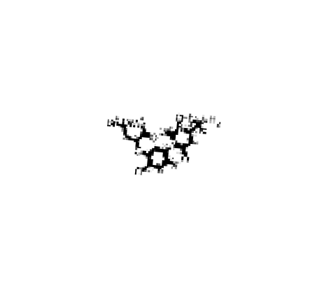 COC(=O)C(CCBr)Oc1cc(-n2c(=O)cc(C(C)(F)F)n(C)c2=O)c(F)cc1Cl